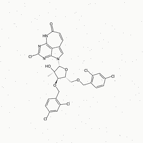 C[C@@]1(O)[C@H](OCc2ccc(Cl)cc2Cl)[C@@H](COCc2ccc(Cl)cc2Cl)O[C@H]1n1cc2c3c(nc(Cl)nc31)NC(=O)C=C2